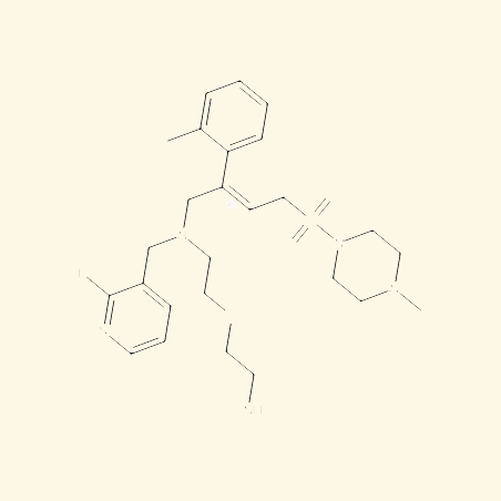 Cc1ccccc1/C(=C\CS(=O)(=O)N1CCN(C)CC1)CN(CCOCCN)Cc1cccnc1F